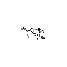 CCCCOC1CC(NC(=O)OC(C)(C)C)C1(C)C